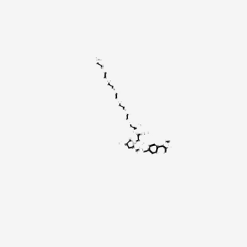 Cc1ncsc1-c1ccc(CNC(=O)[C@@H]2C[C@@H](O)CN2C(=O)C(NC(=O)COCCOCCOCCOCCOCCOCCN)C(C)(C)C)cc1